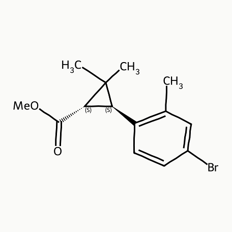 COC(=O)[C@H]1[C@H](c2ccc(Br)cc2C)C1(C)C